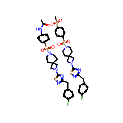 CC(=O)Nc1ccc(S(=O)(=O)N2CCC3(CC2)CN(c2nc(Cc4ccc(F)cc4)ns2)C3)cc1.CS(=O)(=O)c1ccc(S(=O)(=O)N2CCC3(CC2)CN(c2nc(Cc4ccc(F)cc4)ns2)C3)cc1